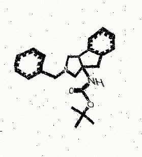 CC(C)(C)OC(=O)NC12Cc3ccccc3C1CN(Cc1ccccc1)C2